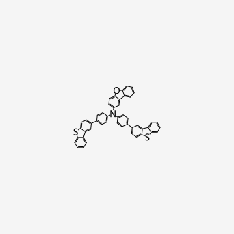 c1ccc2c(c1)oc1ccc(N(c3ccc(-c4ccc5sc6ccccc6c5c4)cc3)c3ccc(-c4ccc5sc6ccccc6c5c4)cc3)cc12